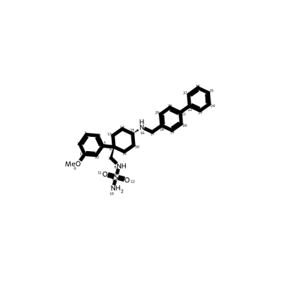 COc1cccc([C@]2(CNS(N)(=O)=O)CC[C@H](NCc3ccc(-c4ccccc4)cc3)CC2)c1